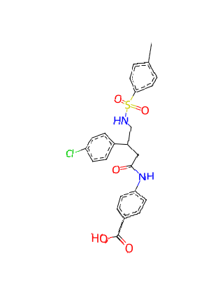 Cc1ccc(S(=O)(=O)NCC(CC(=O)Nc2ccc(C(=O)O)cc2)c2ccc(Cl)cc2)cc1